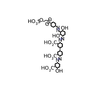 O=C(O)c1cc(/N=N/c2ccc(-c3ccc(/N=N/c4ccc(O)c(/N=N/c5ccc(S(=O)(=O)CCOS(=O)(=O)O)cc5)c4O)c(C(=O)O)c3)cc2C(=O)O)ccc1O